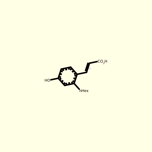 CCCCCCc1cc(O)ccc1/C=C/C(=O)O